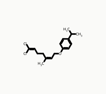 CC(=CCOc1ccc(C(C)C)cc1)CCC=C(Cl)Cl